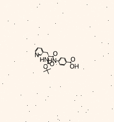 CC(C)(C)OC(=O)N[C@@H](Cc1cccnc1)C(=O)Nc1ccc(C(=O)O)cc1